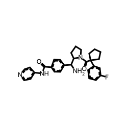 NC(c1ccc(C(=O)Nc2ccncc2)cc1)C1CCCN1C(=O)C1(c2cccc(F)c2)CCCC1